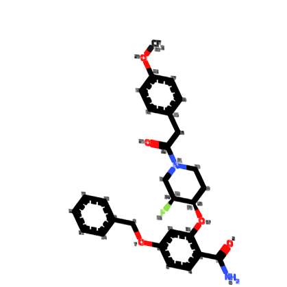 NC(=O)c1ccc(OCc2ccccc2)cc1O[C@@H]1CCN(C(=O)Cc2ccc(OC(F)(F)F)cc2)C[C@@H]1F